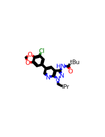 CC(C)Cn1nc(NC(=O)C(C)(C)C)c2cc(-c3cc(Cl)c4c(c3)OCO4)cnc21